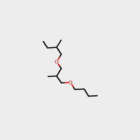 CCCCOCC(C)COCC(C)CC